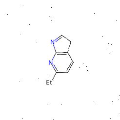 CCc1ccc2c(n1)N=CC2